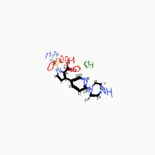 Cl.NS(=O)(=O)n1ccc(-c2ccc(N3CCNCC3)nc2)c1C(=O)O